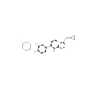 O[C@H]1CC[C@H](Nc2ccc(-c3ccn4c(CC5CC5)nnc4c3Cl)cc2Cl)CC1